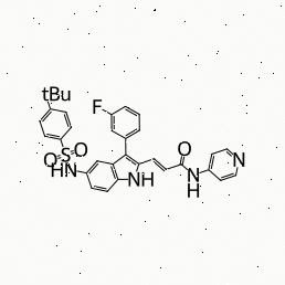 CC(C)(C)c1ccc(S(=O)(=O)Nc2ccc3[nH]c(C=CC(=O)Nc4ccncc4)c(-c4cccc(F)c4)c3c2)cc1